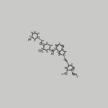 COc1nc(C#Cc2cc3ncnc(Nc4ccc(OCc5cccc(F)c5)c(Cl)c4)c3s2)cnc1N